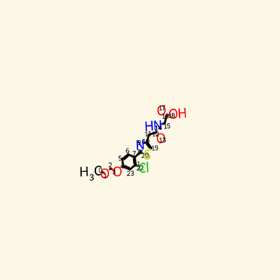 COCOc1ccc(-c2nc(CC(=O)NCC(=O)O)cs2)c(Cl)c1